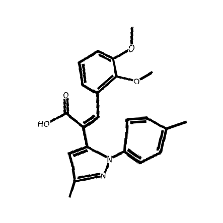 COc1cccc(C=C(C(=O)O)c2cc(C)nn2-c2ccc(C)cc2)c1OC